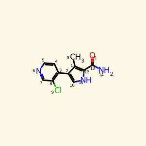 Cc1c(-c2ccncc2Cl)c[nH]c1C(N)=O